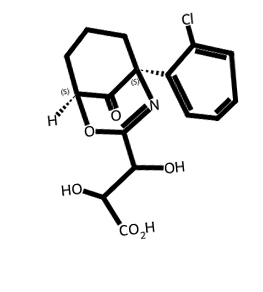 O=C(O)C(O)C(O)C1=N[C@]2(c3ccccc3Cl)CCC[C@H](O1)C2=O